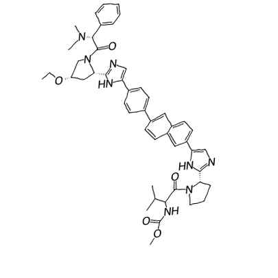 CCO[C@H]1C[C@@H](c2ncc(-c3ccc(-c4ccc5cc(-c6cnc([C@@H]7CCCN7C(=O)C(NC(=O)OC)C(C)C)[nH]6)ccc5c4)cc3)[nH]2)N(C(=O)[C@@H](c2ccccc2)N(C)C)C1